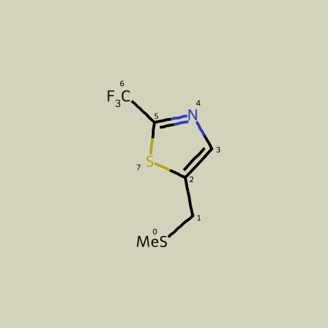 CSCc1cnc(C(F)(F)F)s1